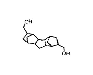 OCC1CC2CC1C1CC3C4CC(CO)C(C4)C3C21